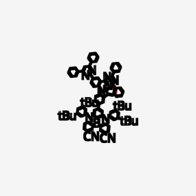 CC(C)(C)c1cc(N2c3ccc(C#N)cc3B3c4cc(C#N)ccc4N(c4cc(C(C)(C)C)cc(C(C)(C)C)c4)c4cc(-c5ccc6c(c5)c5ccccc5n6-c5ccc(-c6nc(-c7ccccc7)cc(-c7ccccc7)n6)cc5-c5nc(-c6ccccc6)nc(-c6ccccc6)n5)cc2c43)cc(C(C)(C)C)c1